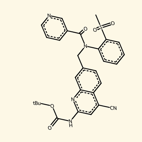 CC(C)(C)OC(=O)Nc1cc(C#N)c2ccc(CN(C(=O)c3cccnc3)c3ccccc3S(C)(=O)=O)cc2n1